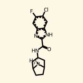 CN1C2CCC1CC(NC(=O)c1nc3cc(F)c(Cl)cc3[nH]1)C2